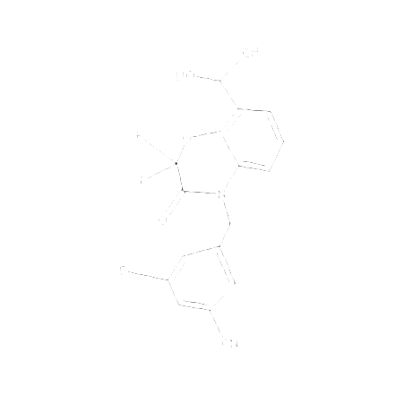 CC(O)c1cccc2c1OC(F)(F)C(=O)N2Cc1cc(F)cc(C#N)c1